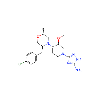 CO[C@H]1CN(c2n[nH]c(N)n2)CCC1N1C[C@H](C)OCC1Cc1ccc(Cl)cc1